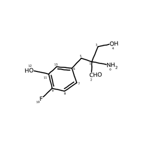 NC(C=O)(CO)Cc1ccc(F)c(O)c1